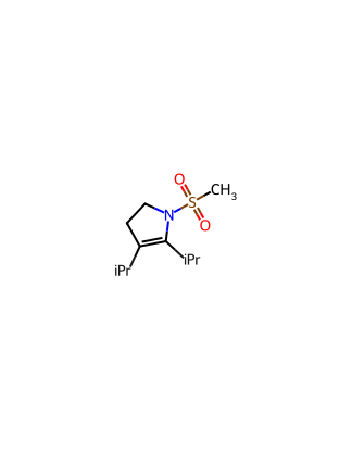 CC(C)C1=C(C(C)C)N(S(C)(=O)=O)CC1